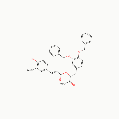 COC(=O)[C@@H](Cc1ccc(OCc2ccccc2)c(OCc2ccccc2)c1)OC(=O)/C=C/c1ccc(O)c(OC)c1